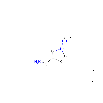 NCC1CCN(N)C1